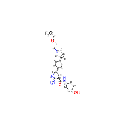 Nc1ncc(-c2ccc(C34CC3CN(CCOCC(F)(F)F)C4)cc2)cc1C(=O)NC1CCC(O)CC1